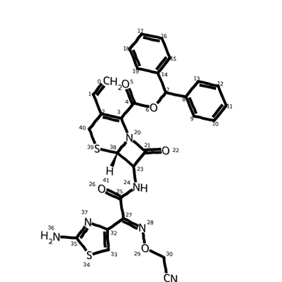 C=CC1=C(C(=O)OC(c2ccccc2)c2ccccc2)N2C(=O)C(NC(=O)C(=NOCC#N)c3csc(N)n3)[C@@H]2SC1